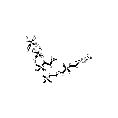 C[N+](C)(C)CCO.C[N+](C)(C)CCO.C[N+](C)(C)CCO.O=P([O-])([O-])[O-].O=P([O-])([O-])[O-].[Na+].[Na+].[Na+]